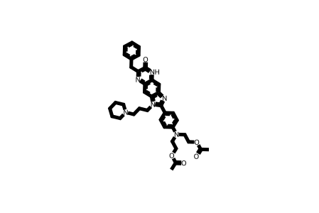 CC(=O)OCCN(CCOC(C)=O)c1ccc(-c2nc3cc4[nH]c(=O)c(Cc5ccccc5)nc4cc3n2CCCN2CCCCC2)cc1